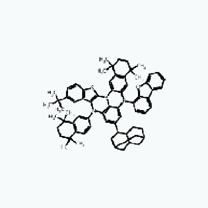 CC(C)(C)c1ccc2sc3c(c2c1)N(c1ccc2c(c1)C(C)(C)CCC2(C)C)c1cc(C2CC4CC5CCC2C(C5)C4)cc2c1B3c1cc3c(cc1N2c1cccc2c1oc1ccccc12)C(C)(C)CCC3(C)C